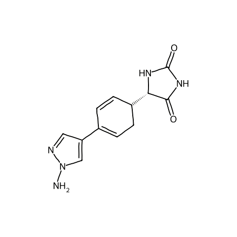 Nn1cc(C2=CCC([C@@H]3NC(=O)NC3=O)C=C2)cn1